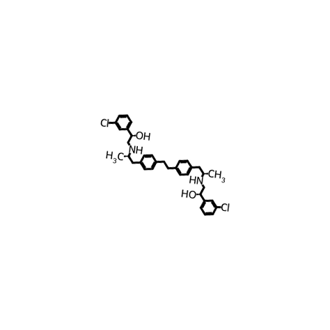 C[C@H](Cc1ccc(CCc2ccc(C[C@@H](C)NC[C@H](O)c3cccc(Cl)c3)cc2)cc1)NC[C@H](O)c1cccc(Cl)c1